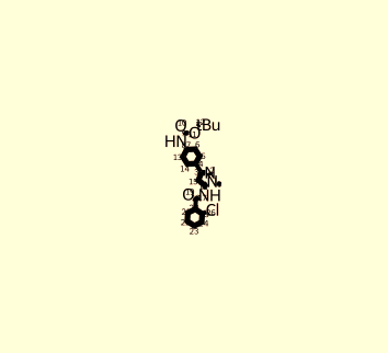 Cn1nc(-c2ccc(NC(=O)OC(C)(C)C)cc2)cc1NC(=O)c1ccccc1Cl